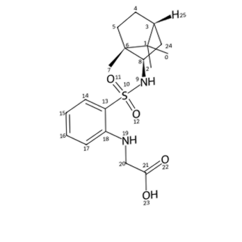 CC1(C)[C@@H]2CC[C@@]1(C)[C@H](NS(=O)(=O)c1ccccc1NCC(=O)O)C2